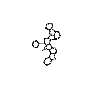 Cn1c2c(-c3ccccc3)cc3c(c4cccc5c6ccccc6n3c54)c2c2ccc3oc4ccccc4c3c21